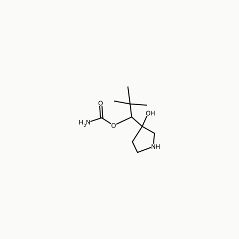 CC(C)(C)C(OC(N)=O)C1(O)CCNC1